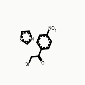 O=C(CBr)c1ccc([N+](=O)[O-])cc1.c1cscn1